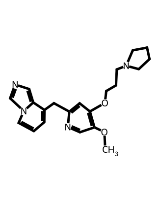 COc1cnc(Cc2cccn3cncc23)cc1OCCCN1CCCC1